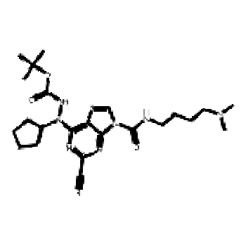 CN(C)CCCCNC(=O)n1cnc2c(N(NC(=O)OC(C)(C)C)C3CCCC3)nc(C#N)nc21